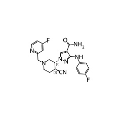 N#C[C@H]1CCN(Cc2cc(F)ccn2)C[C@@H]1n1cc(C(N)=O)c(Nc2ccc(F)cc2)n1